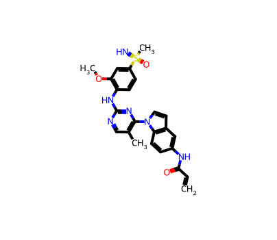 C=CC(=O)Nc1ccc2c(ccn2-c2nc(Nc3ccc(S(C)(=N)=O)cc3OC)ncc2C)c1